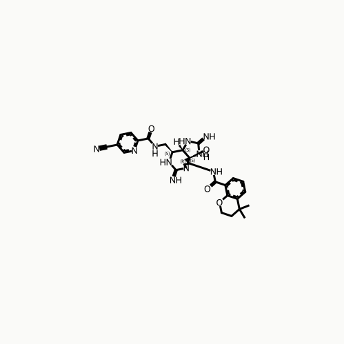 CC1(C)CCOc2c(C(=O)NC3CN4C(=N)N[C@@H](CNC(=O)c5ccc(C#N)cn5)[C@@H]5NC(=N)N[C@@]54[C@@H]3O)cccc21